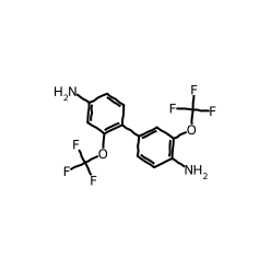 Nc1ccc(-c2ccc(N)c(OC(F)(F)F)c2)c(OC(F)(F)F)c1